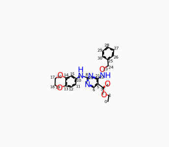 CCOC(=O)c1cnc(Nc2ccc3c(c2)OCCO3)nc1NOCc1ccccc1